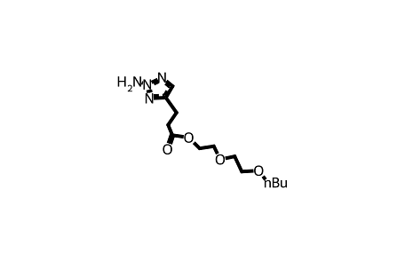 CCCCOCCOCCOC(=O)CCc1cnn(N)n1